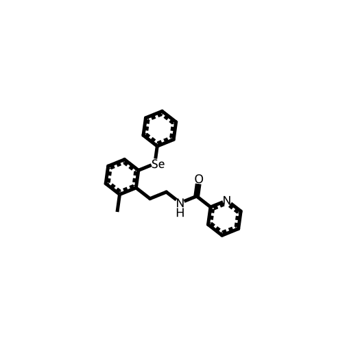 Cc1cccc([Se]c2ccccc2)c1CCNC(=O)c1ccccn1